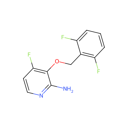 Nc1nccc(F)c1OCc1c(F)cccc1F